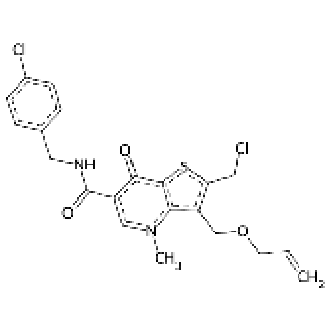 C=CCOCc1c(CCl)sc2c(=O)c(C(=O)NCc3ccc(Cl)cc3)cn(C)c12